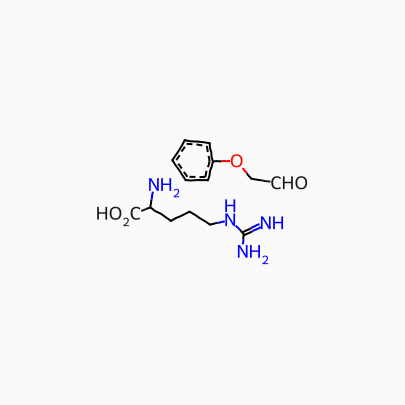 N=C(N)NCCCC(N)C(=O)O.O=CCOc1ccccc1